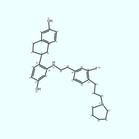 Oc1ccc2c(c1)CCC(c1ccc(O)cc1NCCc1ccc(CCCN3CCCCC3)c(F)c1)C2